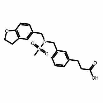 CS(=O)(=O)N(Cc1cccc(CCC(=O)O)c1)Cc1ccc2c(c1)CCO2